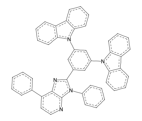 c1ccc(-c2ccnc3c2nc(-c2cc(-n4c5ccccc5c5ccccc54)cc(-n4c5ccccc5c5ccccc54)c2)n3-c2ccccc2)cc1